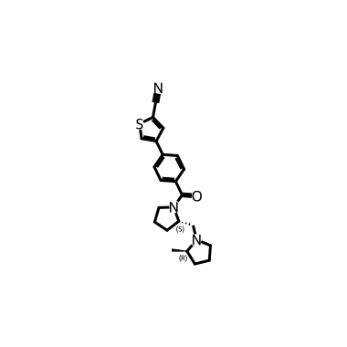 C[C@@H]1CCCN1C[C@@H]1CCCN1C(=O)c1ccc(-c2csc(C#N)c2)cc1